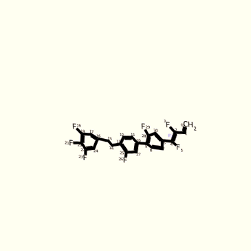 C=C/C(F)=C(\F)c1ccc(-c2ccc(CCc3cc(F)c(F)c(F)c3)c(F)c2)c(F)c1